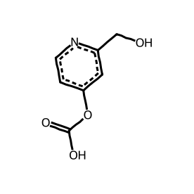 O=C(O)Oc1ccnc(CO)c1